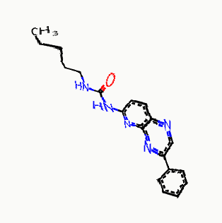 CCCCCNC(=O)Nc1ccc2ncc(-c3ccccc3)nc2n1